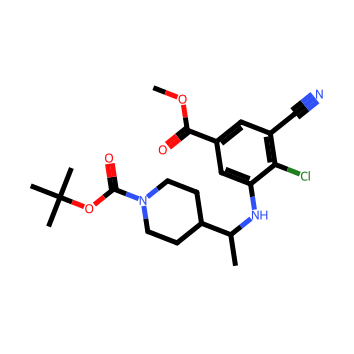 COC(=O)c1cc(C#N)c(Cl)c(NC(C)C2CCN(C(=O)OC(C)(C)C)CC2)c1